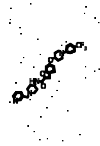 O=C(NC1CCN(Cc2cccnc2)CC1)c1cc2ccc(OC3CCN(c4ccc(C(F)(F)F)cc4)CC3)cc2o1